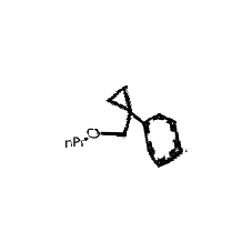 CCCOCC1(c2cc[c]cc2)CC1